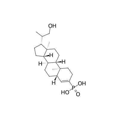 CC(CO)[C@H]1CC[C@H]2[C@@H]3CC[C@H]4C=C(P(=O)(O)O)CC[C@]4(C)[C@H]3CC[C@]12C